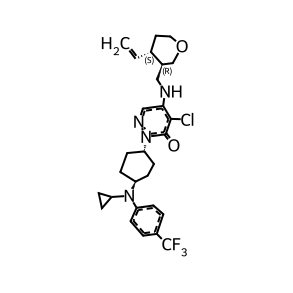 C=C[C@@H]1CCOC[C@H]1CNc1cnn([C@H]2CC[C@H](N(c3ccc(C(F)(F)F)cc3)C3CC3)CC2)c(=O)c1Cl